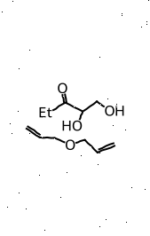 C=CCOCC=C.CCC(=O)C(O)CO